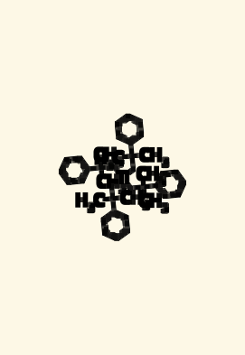 CC(C)([CH2][Ti]([CH2]C(C)(C)c1ccccc1)([CH2]C(C)(C)c1ccccc1)[CH2]C(C)(C)c1ccccc1)c1ccccc1